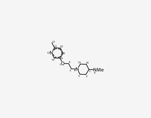 CNC1CCN(CCOc2ccc(C)nc2)CC1